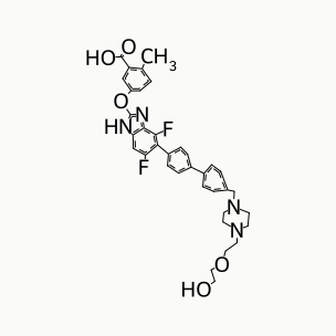 Cc1ccc(Oc2nc3c(F)c(-c4ccc(-c5ccc(CN6CCN(CCOCCO)CC6)cc5)cc4)c(F)cc3[nH]2)cc1C(=O)O